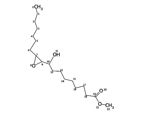 CCCCCCCC1OC1C(O)CCCCCCCC(=O)OC